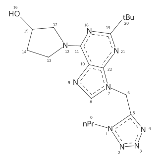 CCCn1nnnc1Cn1cnc2c(N3CCC(O)C3)nc(C(C)(C)C)nc21